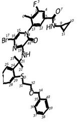 Cc1c(F)cc(C(=O)NC2CC2)cc1-n1cc(Br)nc(NC(C)(C)c2ccccc2SCCOCc2ccccc2)c1=O